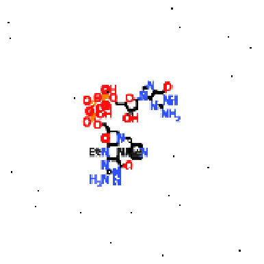 CCN(c1nc(N)[nH]c(=O)c1NC)C1CN(Cc2cccnc2)CC(COP(=O)(O)OP(=O)(O)OP(=O)(O)OCC2OC(n3cnc4c(=O)[nH]c(N)nc43)C[C@@H]2O)O1